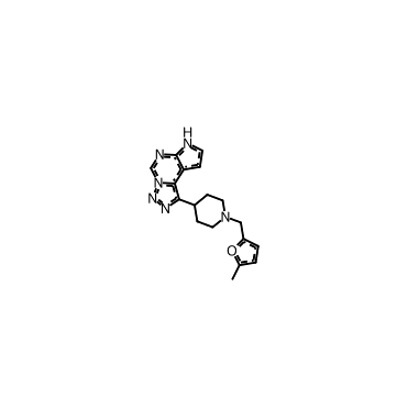 Cc1ccc(CN2CCC(c3nnn4cnc5[nH]ccc5c34)CC2)o1